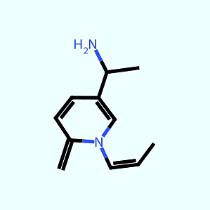 C=C1C=CC(C(C)N)=CN1/C=C\C